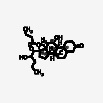 CCCC(=O)O[C@@]1(C(=O)C(O)SCC)CC[C@H]2[C@@H]3CCC4=CC(=O)CC[C@]4(C)[C@H]3[C@@H](O)C[C@@]21C